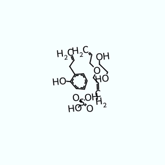 C=CCOCC=C.C=CCc1ccccc1O.O=S(=O)(O)O.OCCO